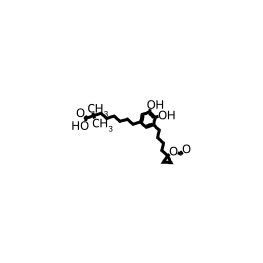 CC(C)(CCCCCCc1cc(O)c(O)c(CCCCC2(OC=O)CC2)c1)C(=O)O